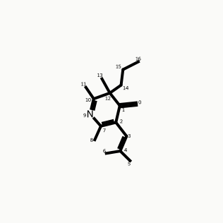 C=C1C(C=C(C)C)=C(C)N=C(C)C1(C)CCC